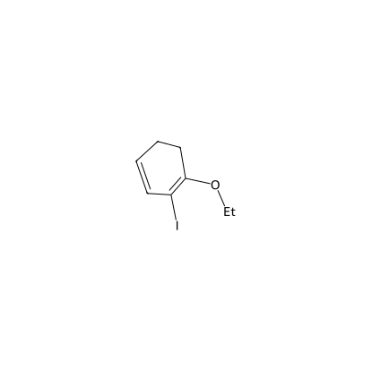 CCOC1=C(I)C=CCC1